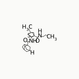 CCCNC(=O)c1cc(CC)sc1NC(=O)C12CC3CC1C[C@@H](C3)C2